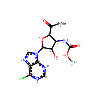 CNC(=O)C1OC(n2cnc3c(Cl)ncnc32)C(O)C1NC(=O)OC(C)(C)C